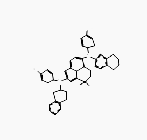 CC(C)(C)C1=CCC(N(C2=CC=C3C=C(N(C4C=CC(C(C)(C)C)=CC4)C4CCc5ccccc5C4)C=C4C3C2CCC4(C)C)c2ccc3c(c2)CCCC3)C=C1